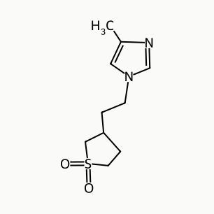 Cc1cn(CCC2CCS(=O)(=O)C2)cn1